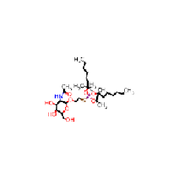 CCCCCCC(C)(C)OP(=O)(OC(C)(CC)CCCCCC)SCCOC1OC(CO)C(O)C(O)C1NC(C)=O